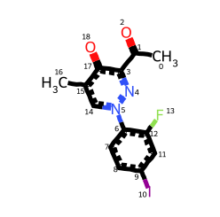 CC(=O)c1nn(-c2ccc(I)cc2F)cc(C)c1=O